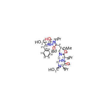 CCCN(C(=O)C[C@H](OC)[C@@H](C(C)CC)N(C)C(=O)[C@H](NC(=O)[C@@H](C(C)C)N(C)C(=O)O)C(C)C)C(O)NC(Cc1ccccc1)C(=O)O